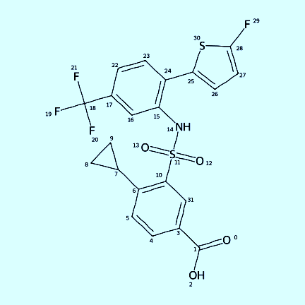 O=C(O)c1ccc(C2CC2)c(S(=O)(=O)Nc2cc(C(F)(F)F)ccc2-c2ccc(F)s2)c1